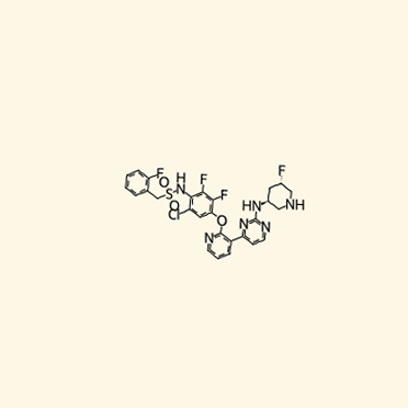 O=S(=O)(Cc1ccccc1F)Nc1c(Cl)cc(Oc2ncccc2-c2ccnc(N[C@@H]3CNC[C@@H](F)C3)n2)c(F)c1F